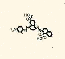 Cc1cc(N)ccc1N=Nc1ccc(N=Nc2ccc3ccccc3c2S(=O)(=O)O)c2ccc(S(=O)(=O)O)cc12